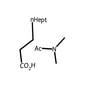 CC(=O)N(C)C.CCCCCCCCCC(=O)O